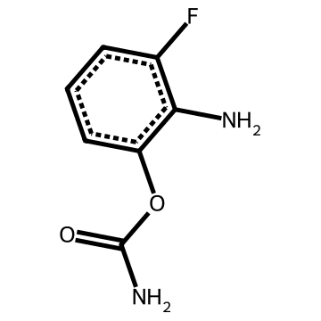 NC(=O)Oc1cccc(F)c1N